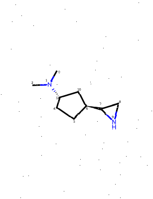 CN(C)[C@H]1CC[C@H](C2CN2)C1